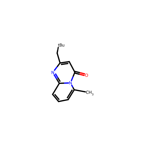 Cc1cccc2nc(CC(C)(C)C)cc(=O)n12